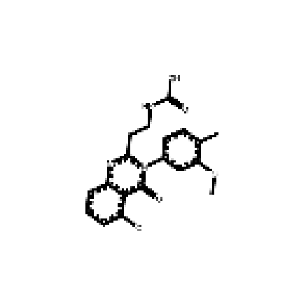 COc1cc(-n2c(CCNC(=O)O)nc3cccc(Cl)c3c2=O)ccc1C